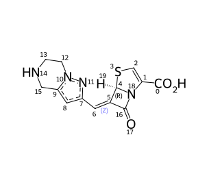 O=C(O)C1=CS[C@@H]2/C(=C\c3cc4n(n3)CCNC4)C(=O)N12